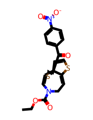 CCOC(=O)N1C=C2SCC(C(=O)c3ccc([N+](=O)[O-])cc3)C23C=CSC3=CC1